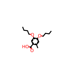 CCCCOc1cc(C)c(C(=O)O)cc1OCCCC